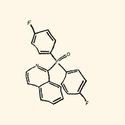 O=P(c1ccc(F)cc1)(c1ccc(F)cc1)c1nccc2ccccc12